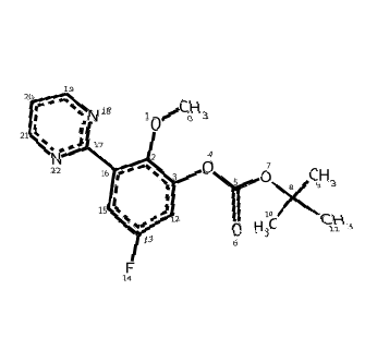 COc1c(OC(=O)OC(C)(C)C)cc(F)cc1-c1ncccn1